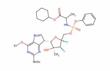 CCOc1nc(NC(C)=O)nc2c1N=CC2[C@@H]1O[C@](F)(COP(=O)(NC(C)C(=O)OC2CCCCC2)Oc2ccccc2)[C@@H](F)[C@@]1(C)O